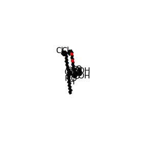 CCCCCCCCCCCCC(OC(=O)CCCCCCCCc1ccc(Cl)cc1)C(=O)N[C@H]1C(O)O[C@H](CO)[C@@H](OS(=O)(=O)O)[C@@H]1OC(=O)CCCCCCCCc1ccc(Cl)cc1